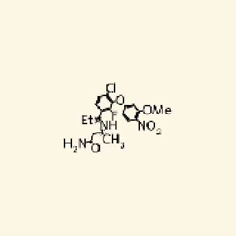 CC[C@@H](N[C@@H](C)CC(N)=O)c1ccc(Cl)c(Oc2ccc([N+](=O)[O-])c(OC)c2)c1F